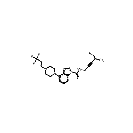 CC(C)C#CCNC(=O)n1cnc2c(N3CCN(CCC(F)(F)F)CC3)cccc21